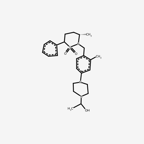 Cc1cc(N2CCN(C(C)O)CC2)ccc1CN1[C@@H](C)CCC(c2ccccc2)S1(=O)=O